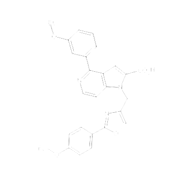 CCOc1cccc(-c2nccc3c2cc(C(=O)O)n3Cc2coc(-c3ccc(OC(F)(F)F)cc3)n2)c1